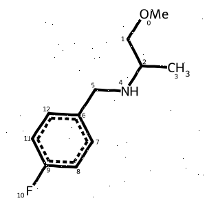 COCC(C)NCc1ccc(F)cc1